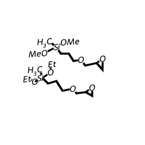 CCO[Si](C)(CCCOCC1CO1)OCC.CO[Si](C)(CCCOCC1CO1)OC